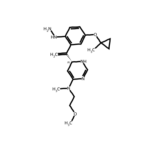 C=C(c1cc(OC2(C)CC2)ccc1NN)[C@H]1C=C(N(C)CCOC)N=CN1